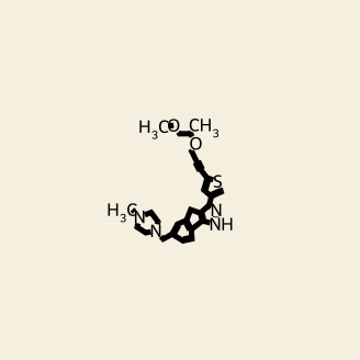 COCC(C)OCC#Cc1cc(-c2n[nH]c3c2Cc2cc(CN4CCN(C)CC4)ccc2-3)cs1